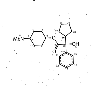 CN[C@H]1CC[C@H](OC(=O)[C@](O)(c2ccccc2)C2CCCC2)CC1